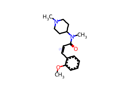 COc1ccccc1/C=C\C(=O)N(C)C1CCN(C)CC1